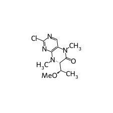 CO[C@H](C)[C@H]1C(=O)N(C)c2cnc(Cl)nc2N1C